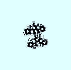 CC(=O)C1=C(C)NC(C)=C(C(=O)c2cccnc2)C1c1csc2ccccc12.COC(=O)C1=C(c2ccccc2)NC(C)=C(C(C)=O)C1c1csc2ccccc12